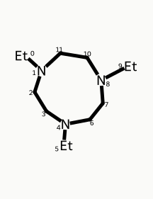 CCN1CCN(CC)CCN(CC)CC1